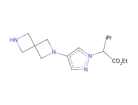 CCOC(=O)C(C(C)C)n1cc(N2CC3(CNC3)C2)cn1